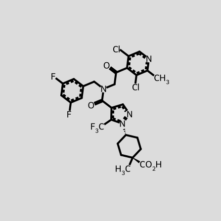 Cc1ncc(Cl)c(C(=O)CN(Cc2cc(F)cc(F)c2)C(=O)c2cnn([C@H]3CC[C@](C)(C(=O)O)CC3)c2C(F)(F)F)c1Cl